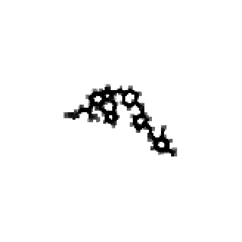 CCn1cncc1Cn1c(CN2CCC(Oc3cccc(COc4ccc(Cl)cc4F)n3)CC2)nc2ccc(/C(C)=C/C(=O)O)cc21